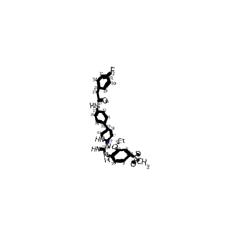 CCOc1cc(S(C)(=O)=O)ccc1NC(=N)/N=c1/ccc(-c2ccc(NC(=O)Cc3ccc(F)cc3)cc2)c[nH]1